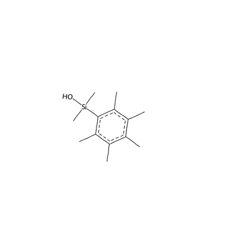 Cc1c(C)c(C)c([Si](C)(C)O)c(C)c1C